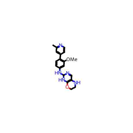 COc1cc(NC2N=CC3=C(N2)OCCN3)ccc1-c1ccnc(C)c1